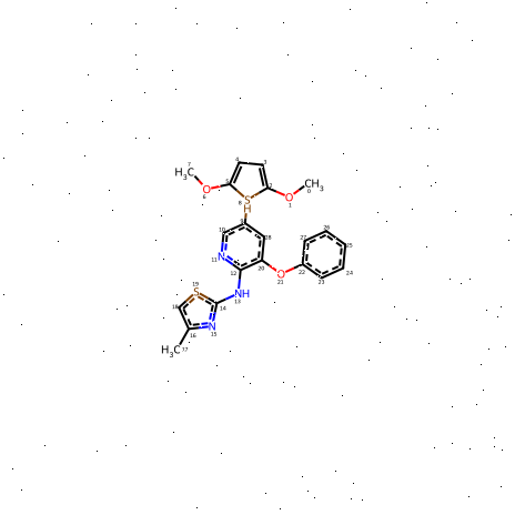 COC1=CC=C(OC)[SH]1c1cnc(Nc2nc(C)cs2)c(Oc2ccccc2)c1